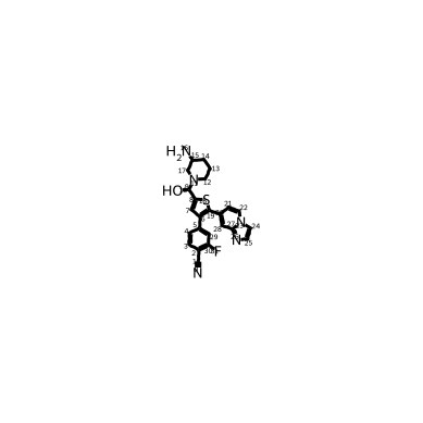 N#Cc1ccc(-c2cc(C(O)N3CCCC(N)C3)sc2-c2ccn3ccnc3c2)cc1F